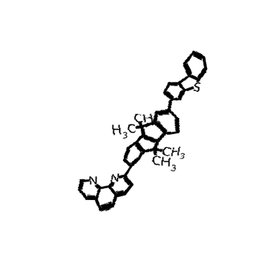 CC1(C)C2=C(c3ccc(-c4ccc5c(c4)sc4ccccc45)cc31)C(C)(C)c1cc(-c3ccc4ccc5cccnc5c4n3)ccc12